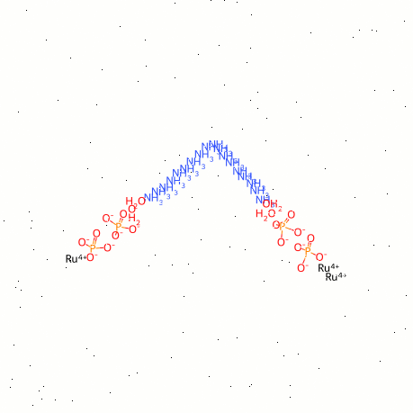 N.N.N.N.N.N.N.N.N.N.N.N.N.N.N.N.N.N.O.O.O.O.O=P([O-])([O-])[O-].O=P([O-])([O-])[O-].O=P([O-])([O-])[O-].O=P([O-])([O-])[O-].[Ru+4].[Ru+4].[Ru+4]